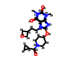 Cn1c(=O)c2c(nc(OC3CCN(C(=O)C4CC4)CC3)n2CCC2COC2)n(C)c1=O